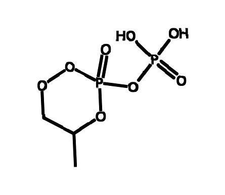 CC1COOP(=O)(OP(=O)(O)O)O1